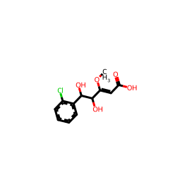 CO/C(=C\C(=O)O)C(O)C(O)c1ccccc1Cl